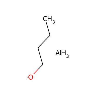 CCCC[O].[AlH3]